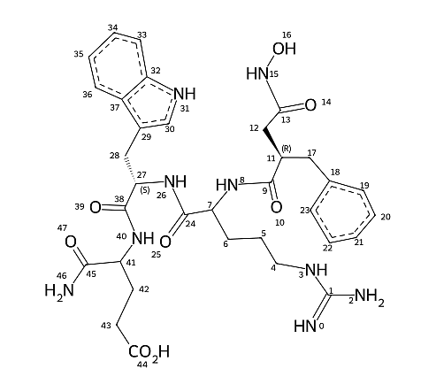 N=C(N)NCCCC(NC(=O)[C@@H](CC(=O)NO)Cc1ccccc1)C(=O)N[C@@H](Cc1c[nH]c2ccccc12)C(=O)NC(CCC(=O)O)C(N)=O